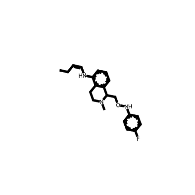 CC/C=C\Nc1cccc2c1CCN(C)C2CONc1ccc(F)cc1